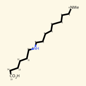 CNCCCCCCCCNCCCCCC(=O)O